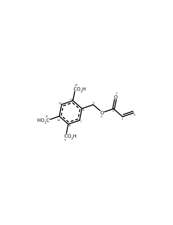 C=CC(=O)OCc1cc(C(=O)O)c(C(=O)O)cc1C(=O)O